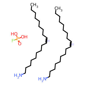 CCCCCCCC/C=C\CCCCCCCCN.CCCCCCCC/C=C\CCCCCCCCN.O=P(O)(O)F